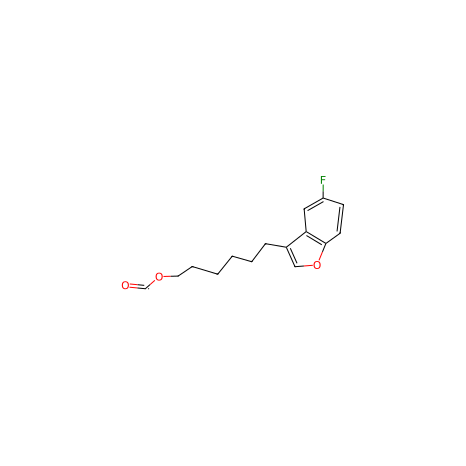 O=[C]OCCCCCCc1coc2ccc(F)cc12